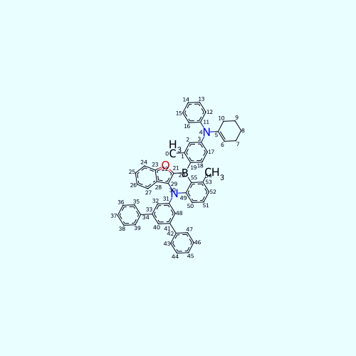 Cc1cc(N(C2=CCCCC2)c2ccccc2)ccc1B1c2oc3ccccc3c2N(c2cc(-c3ccccc3)cc(-c3ccccc3)c2)c2cccc(C)c21